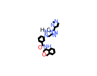 Cn1c(CNc2cccc(C(=O)N[C@@H]3COCc4ccccc43)c2)nnc1-c1ccncn1